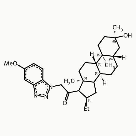 CC[C@@H]1CC2[C@@H]3CC[C@H]4C[C@](C)(O)CC[C@]4(C)[C@H]3CC[C@]2(C)C1C(=O)Cn1nnc2cc(OC)ccc21